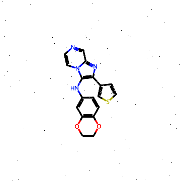 c1cn2c(Nc3ccc4c(c3)OCCO4)c(-c3ccsc3)nc2cn1